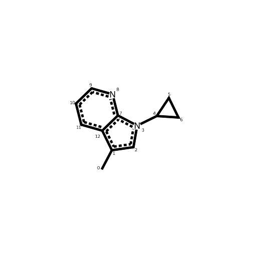 Cc1cn(C2CC2)c2ncccc12